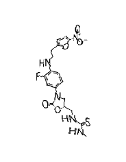 CNC(=S)NCC1CN(c2ccc(NCCc3ccc([N+](=O)[O-])o3)c(F)c2)C(=O)O1